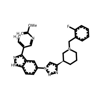 C=C(/N=C\C(=C/C)c1n[nH]c2ccc(-n3cc([C@@H]4CCCN(Cc5ccccc5F)C4)nn3)cc12)OC